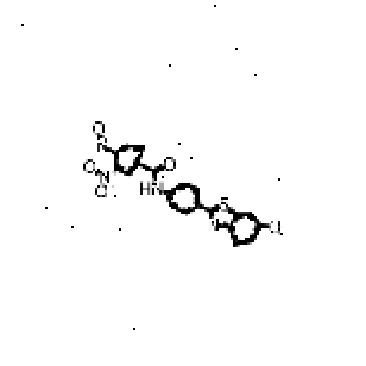 COc1ccc2nc(-c3ccc(NC(=O)c4ccc(N=O)c([N+](=O)[O-])c4)cc3)sc2c1